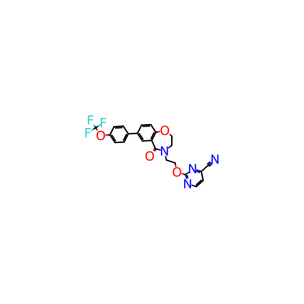 N#Cc1ccnc(OCCN2CCOc3ccc(-c4ccc(OC(F)(F)F)cc4)cc3C2=O)n1